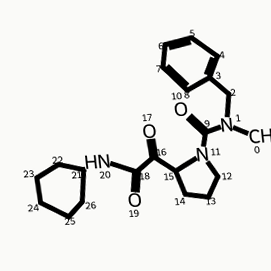 CN(Cc1ccccc1)C(=O)N1CCCC1C(=O)C(=O)NC1CCCCC1